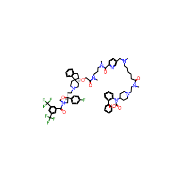 CN(CCCCCC(=O)N(C)CCN1CCC(N(C(=O)O)c2ccccc2-c2ccccc2)CC1)Cc1ccc(C(=O)N(C)CCCN(C)C(=O)CO[C@H]2Cc3ccccc3C23CCN(CC[C@]2(c4ccc(F)cc4)CN(C(=O)c4cc(C(F)(F)F)cc(C(F)(F)F)c4)CO2)CC3)nc1